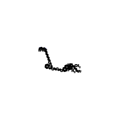 CCCCC/C=C\C/C=C\CCCCCCCCOCOCC(CN1CCCCC1)OCCOCCO[C@H]1CC[C@@]2(C)C(=CC[C@@]3(I)[C@@H]4CC[C@H]([C@H](C)CCCC(C)C)[C@@]4(C)CC[C@@H]32)C1